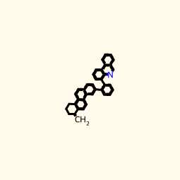 C=C1CCCc2c1ccc1c2ccc2ccc(-c3ccccc3-c3cccc4c3ncc3ccccc34)cc21